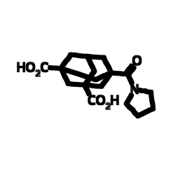 O=C(O)C12CC3CC(C(=O)O)(C1)CC(C(=O)N1CCCC1)(C3)C2